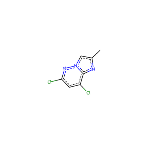 Cc1cn2nc(Cl)cc(Cl)c2n1